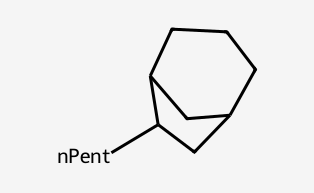 CCCCCC1CC2CCCC1C2